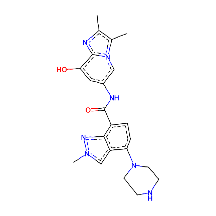 Cc1nc2c(O)cc(NC(=O)c3ccc(N4CCNCC4)c4cn(C)nc34)cn2c1C